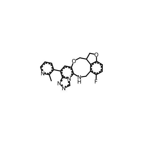 Cc1ncccc1-c1cc2c(n3cnnc13)NCc1c(F)ccc3c1C(CO3)CO2